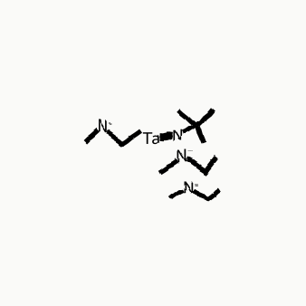 CC(C)(C)[N]=[Ta].CC[N-]C.CC[N-]C.CC[N-]C